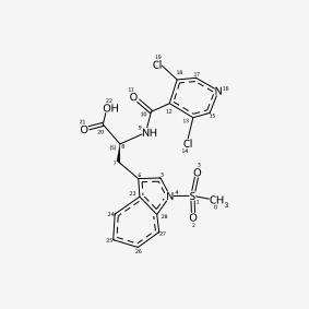 CS(=O)(=O)n1cc(C[C@H](NC(=O)c2c(Cl)cncc2Cl)C(=O)O)c2ccccc21